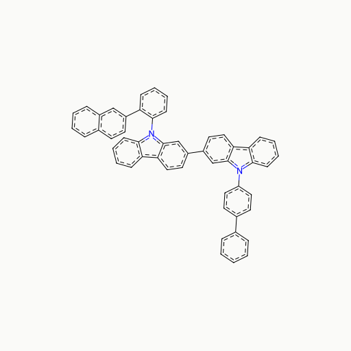 c1ccc(-c2ccc(-n3c4ccccc4c4ccc(-c5ccc6c7ccccc7n(-c7ccccc7-c7ccc8ccccc8c7)c6c5)cc43)cc2)cc1